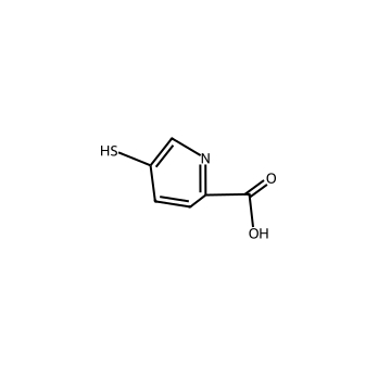 O=C(O)c1ccc(S)cn1